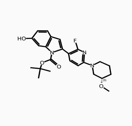 CO[C@H]1CCCN(c2ccc(-c3cc4ccc(O)cc4n3C(=O)OC(C)(C)C)c(F)n2)C1